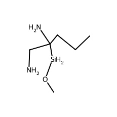 CCCC(N)(CN)[SiH2]OC